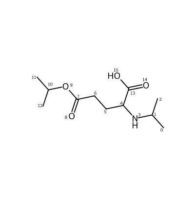 CC(C)NC(CCC(=O)OC(C)C)C(=O)O